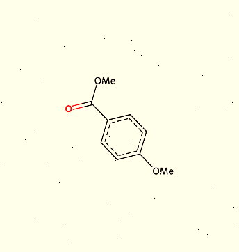 [CH2]OC(=O)c1ccc(OC)cc1